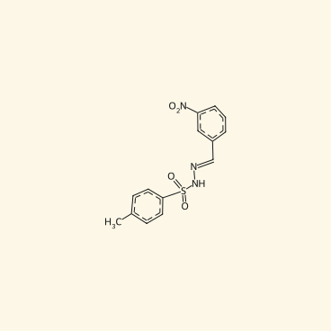 Cc1ccc(S(=O)(=O)NN=Cc2cccc([N+](=O)[O-])c2)cc1